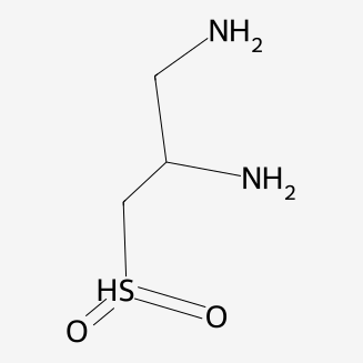 NCC(N)C[SH](=O)=O